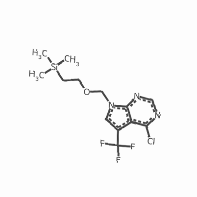 C[Si](C)(C)CCOCn1cc(C(F)(F)F)c2c(Cl)ncnc21